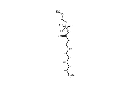 CCOCCP(CC)(CC)(CC)OC(=O)CCOCCOCCOC